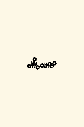 c1ccc(-c2nc(-c3ccccc3)nc(-c3cccc(-c4ccc5nc(-c6ccc7c(n6)oc6ccccc67)ccc5c4)c3)n2)cc1